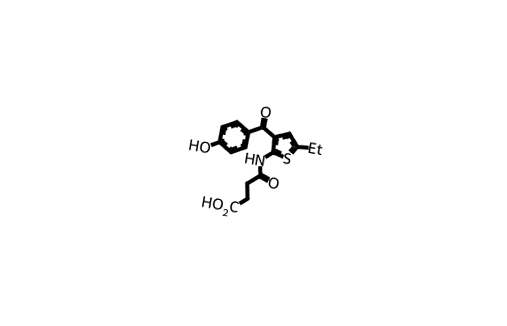 CCc1cc(C(=O)c2ccc(O)cc2)c(NC(=O)CCC(=O)O)s1